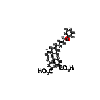 O=C(O)CCCCC(/C=C\c1cccc(CCCCCOc2ccccc2)c1)Cc1ccc(C(=O)O)cc1